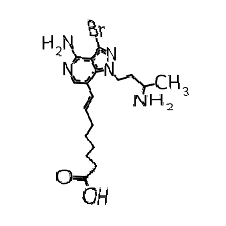 CC(N)CCn1nc(Br)c2c(N)ncc(/C=C/CCCCCC(=O)O)c21